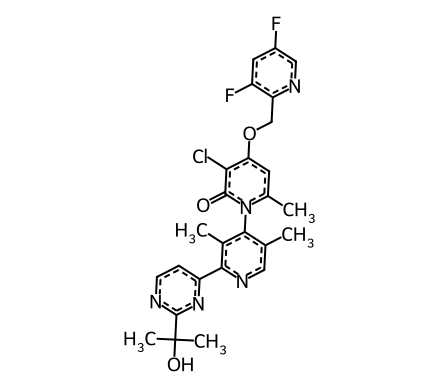 Cc1cnc(-c2ccnc(C(C)(C)O)n2)c(C)c1-n1c(C)cc(OCc2ncc(F)cc2F)c(Cl)c1=O